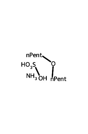 CCCCCOCCCCC.N.O=S(=O)(O)O